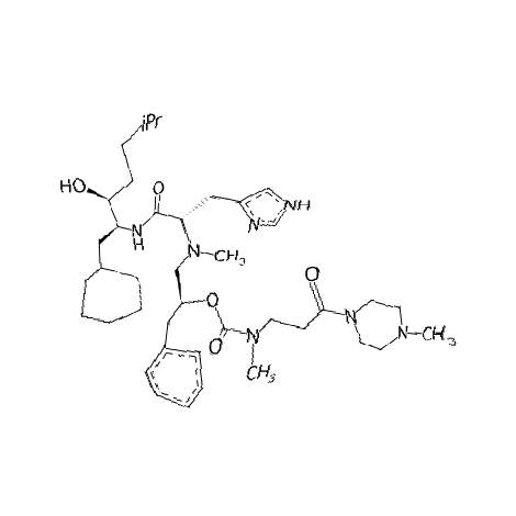 CC(C)CC[C@H](O)[C@H](CC1CCCCC1)NC(=O)[C@H](Cc1c[nH]cn1)N(C)C[C@H](Cc1ccccc1)OC(=O)N(C)CCC(=O)N1CCN(C)CC1